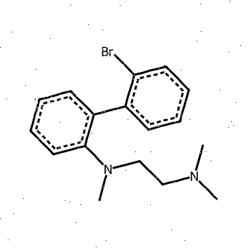 CN(C)CCN(C)c1cc[c]cc1-c1ccccc1Br